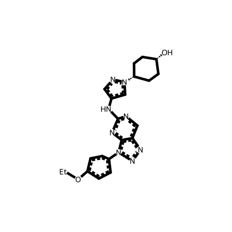 CCOc1ccc(-n2nnc3cnc(Nc4cnn([C@H]5CC[C@@H](O)CC5)c4)nc32)cc1